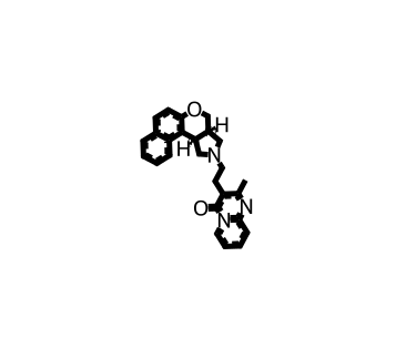 Cc1nc2ccccn2c(=O)c1CCN1C[C@H]2COc3ccc4ccccc4c3[C@@H]2C1